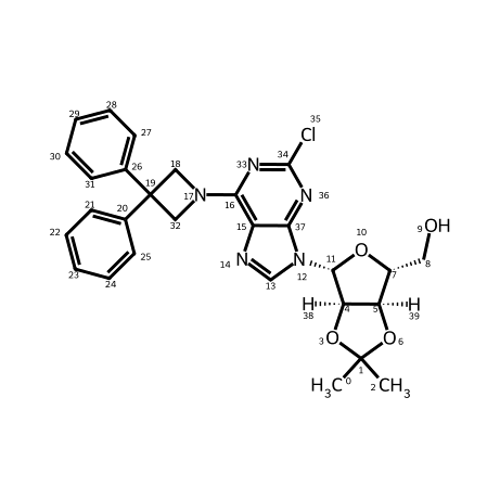 CC1(C)O[C@@H]2[C@H](O1)[C@@H](CO)O[C@H]2n1cnc2c(N3CC(c4ccccc4)(c4ccccc4)C3)nc(Cl)nc21